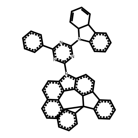 C1=CC2c3ccccc3N(c3nc(-c4ccccc4)nc(-n4c5ccc6c7c5c5c8c(cccc8ccc54)C7(c4ccccc4)c4ccccc4-6)n3)C2C=C1